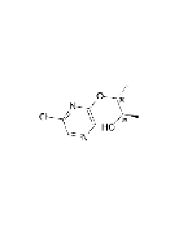 C[C@@H](O)[C@@H](C)Oc1cncc(Cl)n1